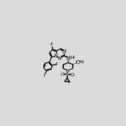 O=S(=O)(C1CC1)N1CC[C@@H](Nc2ncc3c(F)cc(-c4ccc(F)cc4F)n3n2)[C@H](O)C1